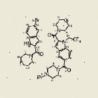 CC(C)N1CCN(C(=O)c2ccc3c(c2)cc(C(=O)N2CCOCC2)n3CC(F)(F)F)CC1.O=C(c1cc2cc(Br)ccc2[nH]1)N1CCOCC1